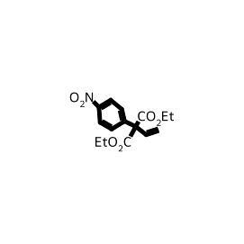 C=CC(C(=O)OCC)(C(=O)OCC)c1ccc([N+](=O)[O-])cc1